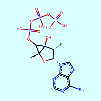 Nc1ncnc2c1ncn2[C@@H]1O[C@@H]2C(OP(=O)(O)OP(=O)(O)OP(=O)(O)O)[C@]2(O)[C@@H]1F